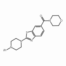 CC(C)N1CCN(c2nc3ccc(C(=O)N4CCOCC4)cc3s2)CC1